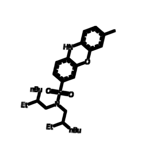 CCCCC(CC)CN(CC(CC)CCCC)S(=O)(=O)c1ccc2c(c1)Oc1cc(C)ccc1N2